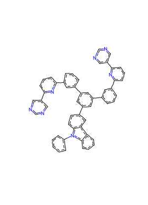 c1ccc(-n2c3ccccc3c3cc(-c4cc(-c5cccc(-c6cccc(-c7cncnc7)n6)c5)cc(-c5cccc(-c6cccc(-c7cncnc7)n6)c5)c4)ccc32)cc1